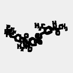 CC(=O)Nc1ccc(CCS(=O)(=O)N2CCC(NC(=O)C3CCC(CC(F)(F)C(F)(F)F)CC3)(C(N)=O)CC2)c(C)c1